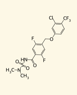 CN(C)S(=O)(=O)NC(=O)c1cc(F)c(COc2ccc(C(F)(F)F)c(Cl)c2)cc1F